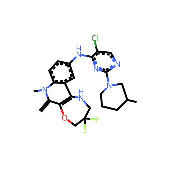 C=C1C2=C(NCC(F)(F)CO2)c2cc(Nc3nc(N4CCCC(C)C4)ncc3Cl)ccc2N1C